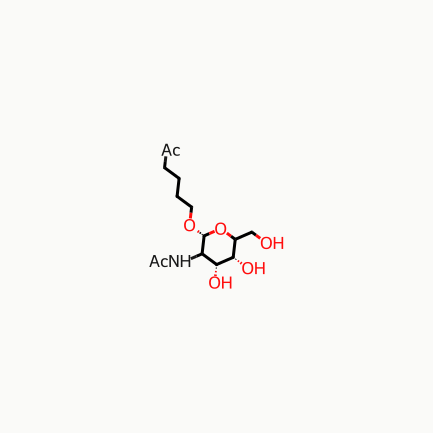 CC(=O)CCCCO[C@@H]1OC(CO)[C@H](O)[C@H](O)C1NC(C)=O